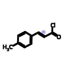 Cc1ccc(/C=C/C(=O)Cl)cc1